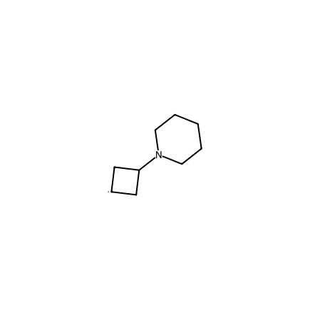 [CH]1CC(N2CCCCC2)C1